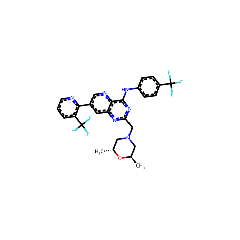 C[C@@H]1CN(Cc2nc(Nc3ccc(C(F)(F)F)cc3)c3ncc(-c4ncccc4C(F)(F)F)cc3n2)C[C@@H](C)O1